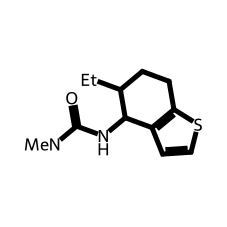 CCC1CCc2sccc2C1NC(=O)NC